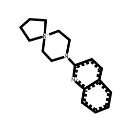 c1ccc2nc(N3CC[N+]4(CCCC4)CC3)ccc2c1